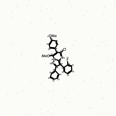 COc1ccc(-c2c(Cl)nc3c(-c4ccccc4F)c(-c4ccccc4)nn3c2OC)cc1